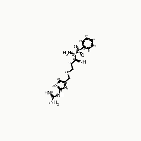 N=C(N)Nc1nc(CSCCC(=N)N(N)S(=O)(=O)c2ccccc2)cs1